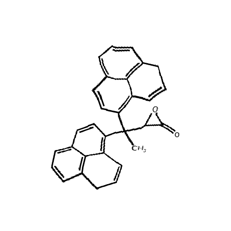 CC(c1ccc2cccc3c2c1C=CC3)(c1ccc2cccc3c2c1C=CC3)C1OC1=O